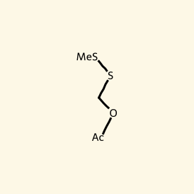 CSSCOC(C)=O